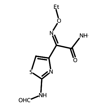 CCON=C(C([NH])=O)c1csc(NC=O)n1